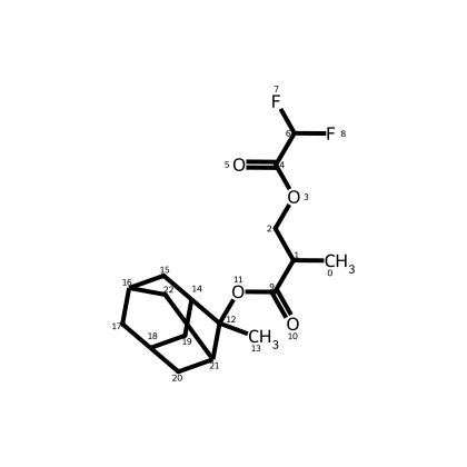 CC(COC(=O)C(F)F)C(=O)OC1(C)C2CC3CC(C2)CC1C3